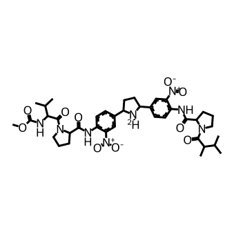 [2H]N1C(c2ccc(NC(=O)C3CCCN3C(=O)C(C)C(C)C)c([N+](=O)[O-])c2)CCC1c1ccc(NC(=O)C2CCCN2C(=O)C(NC(=O)OC)C(C)C)c([N+](=O)[O-])c1